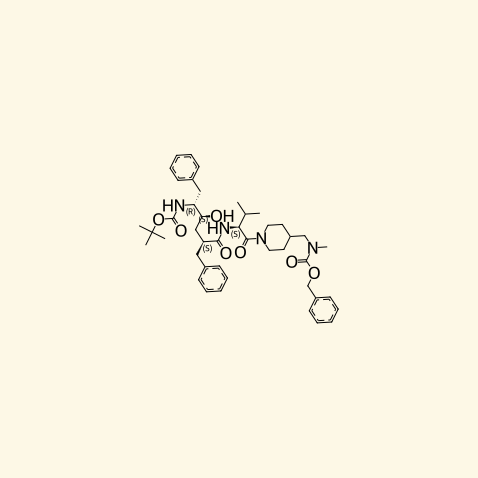 CC(C)[C@H](NC(=O)[C@@H](Cc1ccccc1)C[C@H](O)[C@@H](Cc1ccccc1)NC(=O)OC(C)(C)C)C(=O)N1CCC(CN(C)C(=O)OCc2ccccc2)CC1